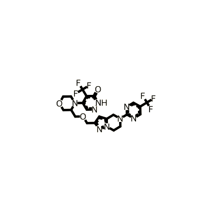 O=c1[nH]ncc(N2CCOCC2COCc2cc3n(n2)CCN(c2ncc(C(F)(F)F)cn2)C3)c1C(F)(F)F